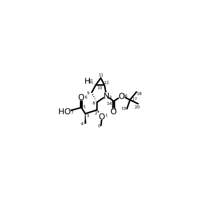 CO[C@H]([C@@H](C)C(=O)O)[C@@H]1C[C@H]2CC2N1C(=O)OC(C)(C)C